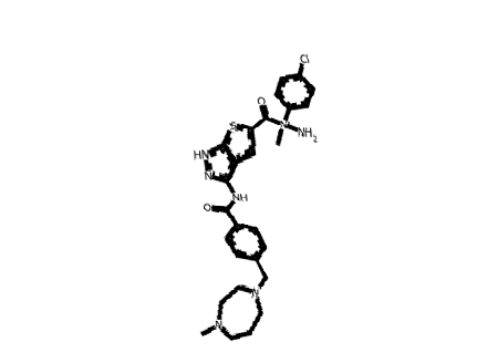 CN1CCCN(Cc2ccc(C(=O)Nc3n[nH]c4sc(C(=O)[N+](C)(N)c5ccc(Cl)cc5)cc34)cc2)CC1